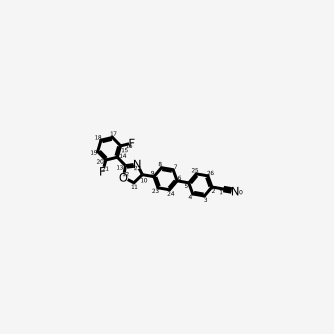 N#Cc1ccc(-c2ccc(C3COC(c4c(F)cccc4F)=N3)cc2)cc1